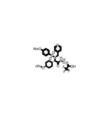 CCCO[C@H]1CC[C@H](C(C(=O)NO)N(Cc2ccncc2)S(=O)(=O)c2ccc(OC)cc2)CC1.O=C(O)C(F)(F)F